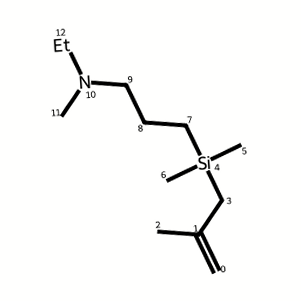 C=C(C)C[Si](C)(C)CCCN(C)CC